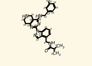 CC(C)C(=O)NCc1cccc2c1cnn2-c1nc2c(c(NCc3cccc(F)c3)n1)CNCC2